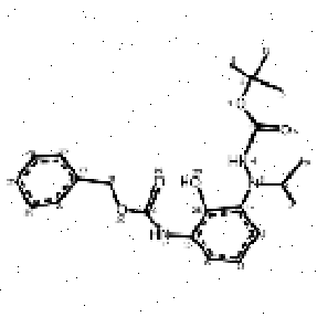 CC(C)N(NC(=O)OC(C)(C)C)c1cccc(NC(=O)OCc2ccccc2)c1O